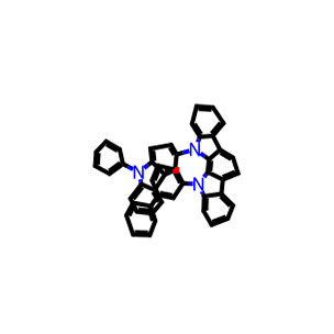 c1ccc(-c2cccc(-n3c4ccccc4c4ccc5c6ccccc6n(-c6ccc7c(c6)c6ccccc6n7-c6ccccc6)c5c43)c2)cc1